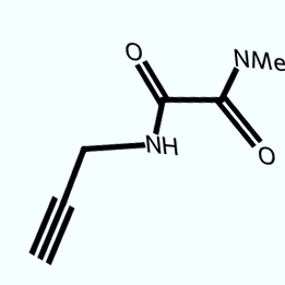 C#CCNC(=O)C(=O)NC